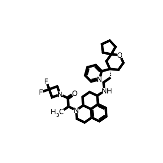 CC(C(=O)N1CC(F)(F)C1)N1CCc2cccc3c2C1CCC3NCC[C@@]1(c2ccccn2)CCOC2(CCCC2)C1